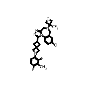 Cc1c(F)ccc(N2CC3(CC(c4nnc5n4-c4ccc(Cl)cc4CN(C4(C(F)(F)F)COC4)C5)C3)C2)c1F